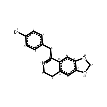 Brc1ccc(CC2=NCCc3cc4c(cc32)OCO4)cc1